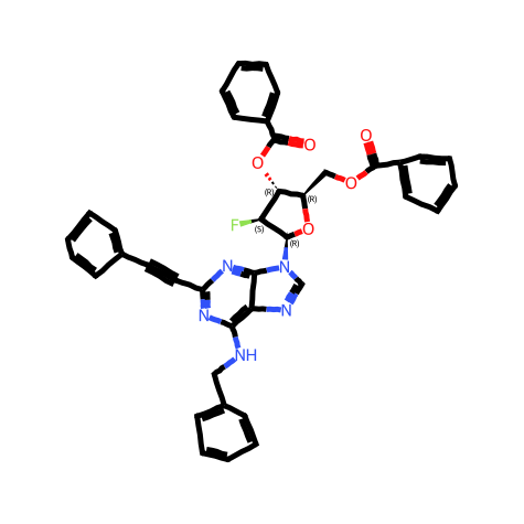 O=C(OC[C@H]1O[C@@H](n2cnc3c(NCc4ccccc4)nc(C#Cc4ccccc4)nc32)[C@@H](F)[C@@H]1OC(=O)c1ccccc1)c1ccccc1